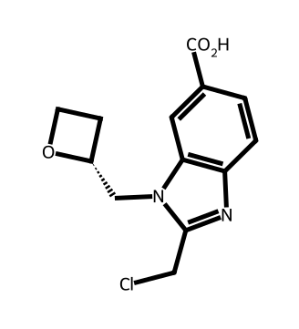 O=C(O)c1ccc2nc(CCl)n(C[C@H]3CCO3)c2c1